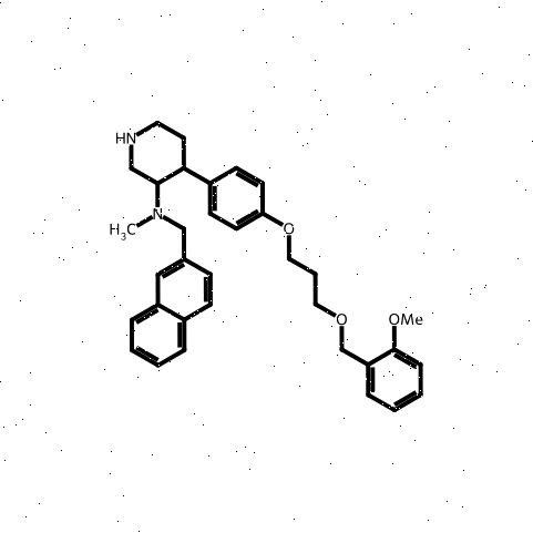 COc1ccccc1COCCCOc1ccc(C2CCNCC2N(C)Cc2ccc3ccccc3c2)cc1